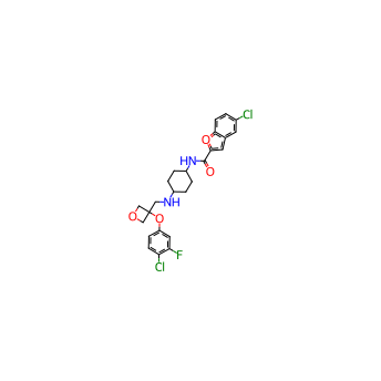 O=C(NC1CCC(NCC2(Oc3ccc(Cl)c(F)c3)COC2)CC1)c1cc2cc(Cl)ccc2o1